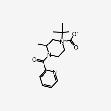 C[C@H]1C[N+](C(=O)[O-])(C(C)(C)C)CCN1C(=O)c1ccccn1